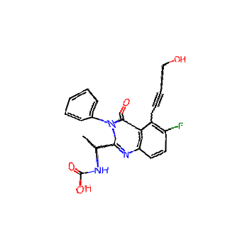 CC(NC(=O)O)c1nc2ccc(F)c(C#CCO)c2c(=O)n1-c1ccccc1